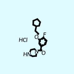 Cl.O=C(c1ccc(F)c(OCCC2CCCCC2)c1)N1CCNCC1